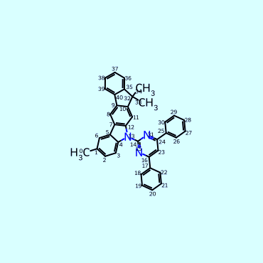 Cc1ccc2c(c1)c1cc3c(cc1n2-c1nc(-c2ccccc2)cc(-c2ccccc2)n1)C(C)(C)c1ccccc1-3